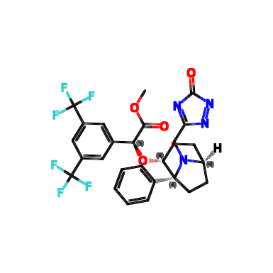 COC(=O)[C@@H](O[C@@H]1CC[C@H]2CC[C@]1(c1ccccc1)N2CC1=NC(=O)N=N1)c1cc(C(F)(F)F)cc(C(F)(F)F)c1